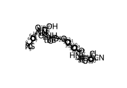 Cc1ncsc1-c1ccc(CNC(=O)[C@@H]2C[C@H](O)CN2C(=O)[C@@H](NC(=O)COCCOc2ccc(-c3ccc(C(=O)N[C@H]4C(C)(C)[C@H](Oc5ccc(C#N)c(Cl)c5)C4(C)C)cc3)cc2)C(C)(C)C)cc1